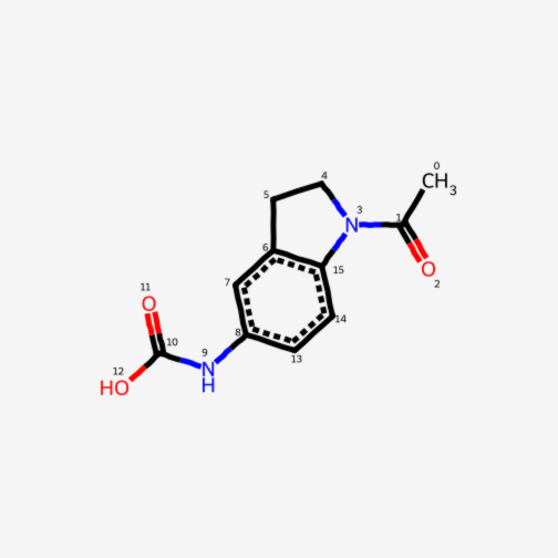 CC(=O)N1CCc2cc(NC(=O)O)ccc21